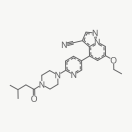 CCOc1cc(-c2ccc(N3CCN(C(=O)CC(C)C)CC3)nc2)c2c(C#N)cnn2c1